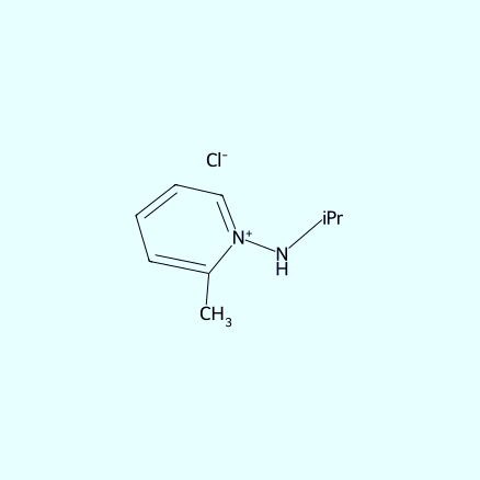 Cc1cccc[n+]1NC(C)C.[Cl-]